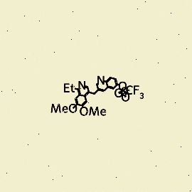 CCc1ncc(Cc2cnc3ccc(OS(=O)(=O)C(F)(F)F)cc3c2)c2cc(OC)c(OC)cc12